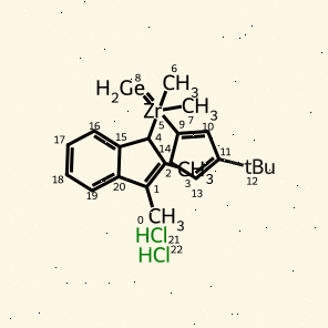 CC1=C(C)[CH]([Zr]([CH3])([CH3])(=[GeH2])[C]2=CC(C(C)(C)C)=CC2)c2ccccc21.Cl.Cl